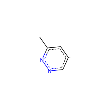 Cc1c[c]cnn1